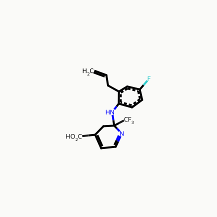 C=CCc1cc(F)ccc1NC1(C(F)(F)F)CC(C(=O)O)=CC=N1